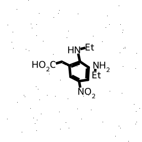 CCN.CCNc1ccc([N+](=O)[O-])cc1CC(=O)O